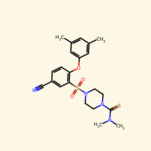 Cc1cc(C)cc(Oc2ccc(C#N)cc2S(=O)(=O)N2CCN(C(=S)N(C)C)CC2)c1